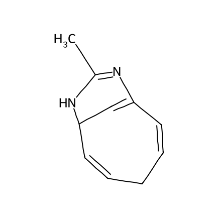 CC1=NC2=CC(/C=C\C/C=C\2)N1